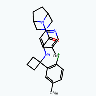 COc1ccc(F)c(C2(NCC(=O)N3CC4CCC(C3)N4c3ccc(C#N)cn3)CCC2)c1